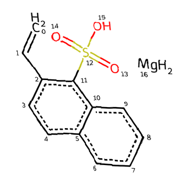 C=Cc1ccc2ccccc2c1S(=O)(=O)O.[MgH2]